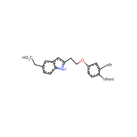 CCCCCc1ccc(OCCc2cc3cc(CC(=O)O)ccc3[nH]2)cc1CCC